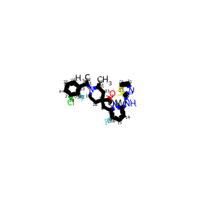 COC(=O)C1(Cc2nc(Nc3nccs3)ccc2F)CCN(C(C)c2cccc(Cl)c2F)C(C)C1